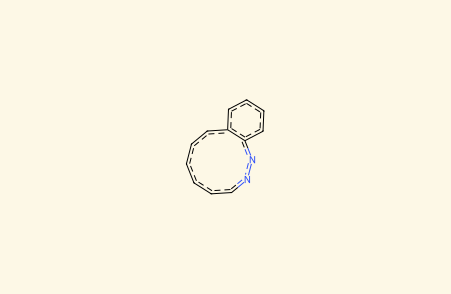 c1cccc2ccccc2nncc1